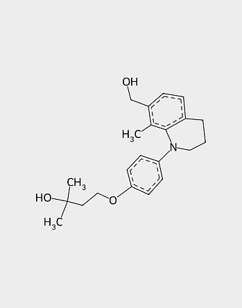 Cc1c(CO)ccc2c1N(c1ccc(OCCC(C)(C)O)cc1)CCC2